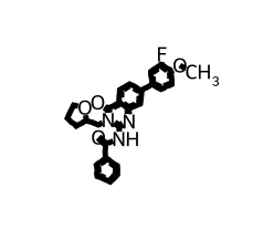 COc1ccc(-c2ccc3c(=O)n(CC4CCCO4)c(NC(=O)c4ccccc4)nc3c2)cc1F